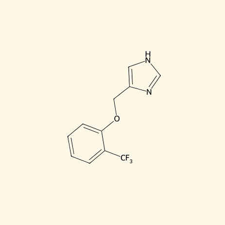 FC(F)(F)c1ccccc1OCc1c[nH]cn1